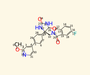 COc1cc(-c2ccc([C@]3(CN4Cc5ccc(F)cc5C4=O)NC(=O)NC3=O)cc2)ccn1